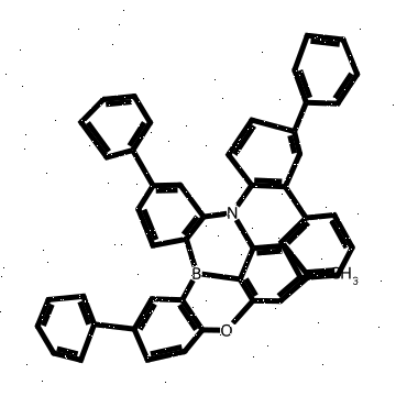 Cc1cc2c3c(c1)N(c1ccc(-c4ccccc4)cc1-c1ccccc1)c1cc(-c4ccccc4)ccc1B3c1cc(-c3ccccc3)ccc1O2